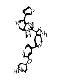 c1cc(-c2cncc3[nH]c(-c4n[nH]c5cnc(-c6cncc(OC7CCNCC7)c6)cc45)nc23)co1